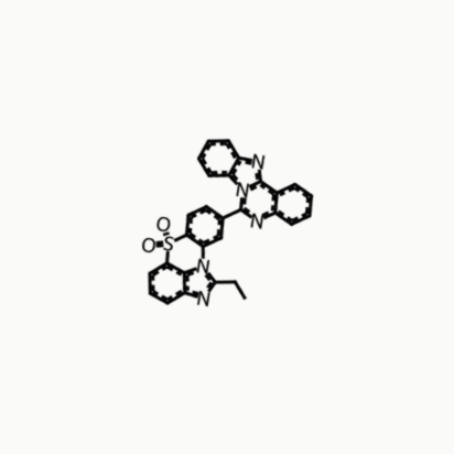 CCc1nc2cccc3c2n1-c1cc(-c2nc4ccccc4c4nc5ccccc5n24)ccc1S3(=O)=O